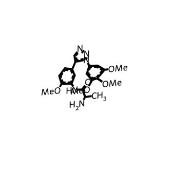 COc1ccc(-c2cnnn2-c2cc(OC)c(OC)c(OC)c2)cc1NC(=O)C(C)N